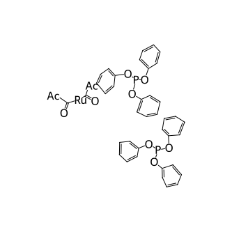 CC(=O)[C](=O)[Ru][C](=O)C(C)=O.c1ccc(OP(Oc2ccccc2)Oc2ccccc2)cc1.c1ccc(OP(Oc2ccccc2)Oc2ccccc2)cc1